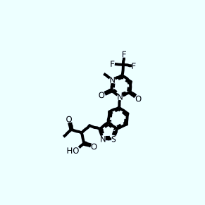 CC(=O)C(Cc1nsc2ccc(-n3c(=O)cc(C(F)(F)F)n(C)c3=O)cc12)C(=O)O